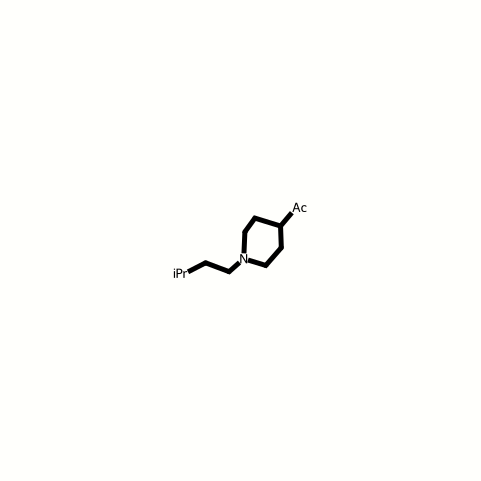 CC(=O)C1CCN(CCC(C)C)CC1